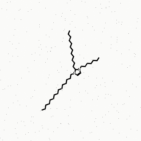 CCCCCCCCCCCCCCCN1C=CN(CCCCCCC)C1CCCCCCCCCCCC